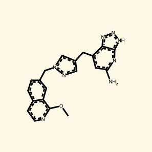 COc1nccc2ccc(Cn3cc(Cc4cc(N)nc5[nH]nnc45)cn3)cc12